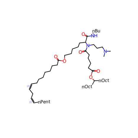 CCCCC/C=C\C/C=C\CCCCCCCC(=O)OCCCCCC(C(=O)NCCCC)N(CCCN(C)C)C(=O)CCCCC(=O)OC(CCCCCCCC)CCCCCCCC